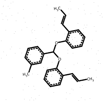 CC=Cc1ccccc1OC(Oc1ccccc1C=CC)c1cccc(C)c1